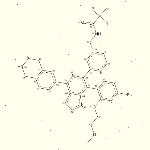 COCCOc1cc(F)ccc1-c1c(-c2cccc(CNC(=O)C(C)(C)C)c2)nc(-c2ccc3c(c2)CCNC3)c2ccsc12